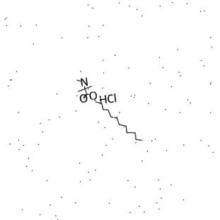 CCCCCCCCCCCCOC(=O)C(C)(C)N(C)C.Cl